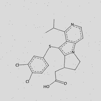 CC(C)c1nccc2c1c(Sc1ccc(Cl)c(Cl)c1)c1n2CCC1CC(=O)O